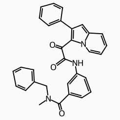 CN(Cc1ccccc1)C(=O)c1cccc(NC(=O)C(=O)c2c(-c3ccccc3)cc3ccccn23)c1